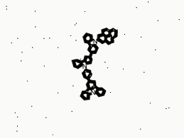 c1cc2ccc3cc(-n4c5ccccc5c5cc(-c6ccc7c(c6)c6ccccc6n7-c6ccc(-c7cc8c9ccccc9n9c%10ccccc%10c(c7)c89)cc6)ccc54)cc4ccc(c1)c2c34